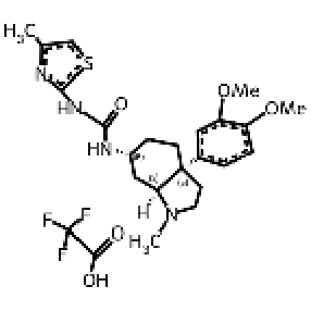 COc1ccc([C@@]23CC[C@@H](NC(=O)Nc4nc(C)cs4)C[C@@H]2N(C)CC3)cc1OC.O=C(O)C(F)(F)F